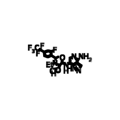 CCN(C(=O)C(=O)Nc1cnc(N)c2cn[nH]c12)C(C)c1ccc(C(F)(F)C(F)(F)F)cc1F.[Cl-].[H+]